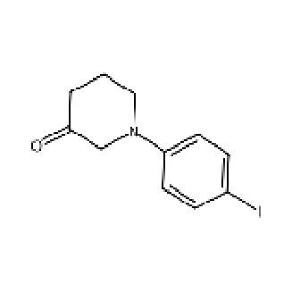 O=C1CCCN(c2ccc(I)cc2)C1